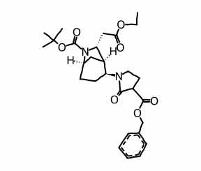 CCOC(=O)C[C@@H]1[C@@H]2C[C@@H](CC[C@@H]2N2CCC(C(=O)OCc3ccccc3)C2=O)N1C(=O)OC(C)(C)C